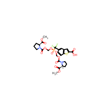 COC(=O)[C@@H]1CCCN1C(=O)OCOP(=O)(OCOC(=O)N1CCC[C@H]1C(=O)OC)C(F)(F)c1ccc2sc(C(=O)O)cc2c1